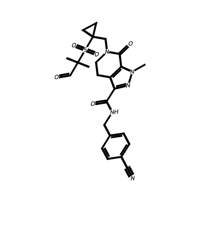 Cn1nc(C(=O)NCc2ccc(C#N)cc2)c2c1C(=O)N(CC1(S(=O)(=O)C(C)(C)C=O)CC1)CC2